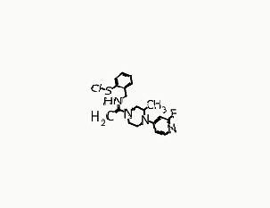 C=C(NCc1ccccc1SCl)N1CCN(c2ccnc(F)c2)C(C)C1